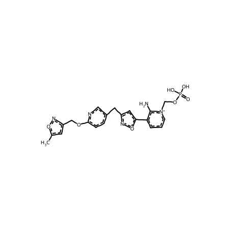 Cc1cc(COc2ccc(Cc3cc(-c4ccc[n+](COP(=O)(O)O)c4N)on3)cn2)no1